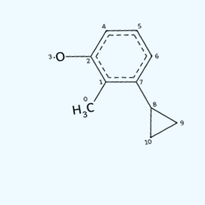 Cc1c([O])cccc1C1CC1